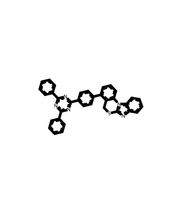 c1ccc(-c2nc(-c3ccccc3)nc(-c3ccc(-c4cccc5c4CSc4nc6ccccc6n4-5)cc3)n2)cc1